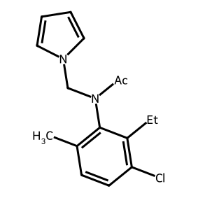 CCc1c(Cl)ccc(C)c1N(Cn1cccc1)C(C)=O